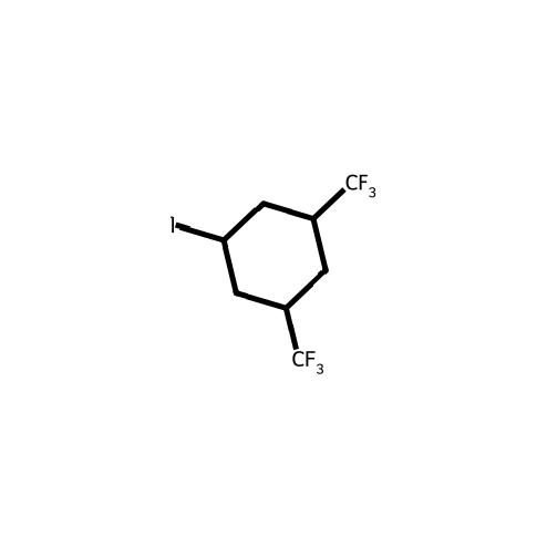 FC(F)(F)C1CC(I)CC(C(F)(F)F)C1